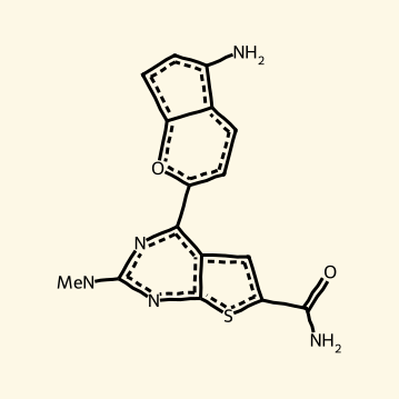 CNc1nc(-c2ccc3c(N)ccc-3o2)c2cc(C(N)=O)sc2n1